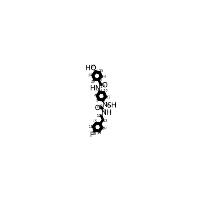 O=C(Nc1ccc(N(S)C(=O)NCCc2ccc(F)cc2)cc1)c1ccc(O)cc1